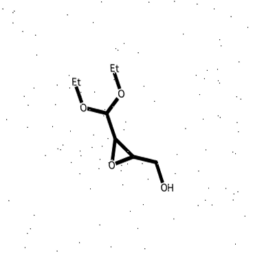 CCOC(OCC)C1OC1CO